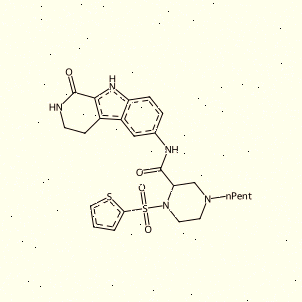 CCCCCN1CCN(S(=O)(=O)c2cccs2)C(C(=O)Nc2ccc3[nH]c4c(c3c2)CCNC4=O)C1